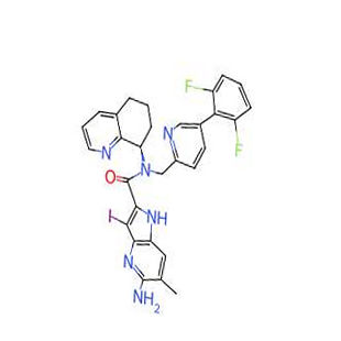 Cc1cc2[nH]c(C(=O)N(Cc3ccc(-c4c(F)cccc4F)cn3)[C@@H]3CCCc4cccnc43)c(I)c2nc1N